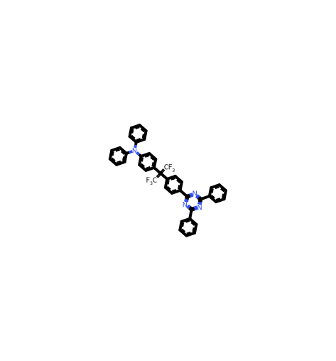 FC(F)(F)C(c1ccc(-c2nc(-c3ccccc3)nc(-c3ccccc3)n2)cc1)(c1ccc(N(c2ccccc2)c2ccccc2)cc1)C(F)(F)F